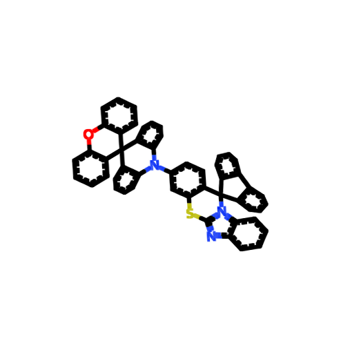 c1ccc2c(c1)Oc1ccccc1C21c2ccccc2N(c2ccc3c(c2)Sc2nc4ccccc4n2C32c3ccccc3-c3ccccc32)c2ccccc21